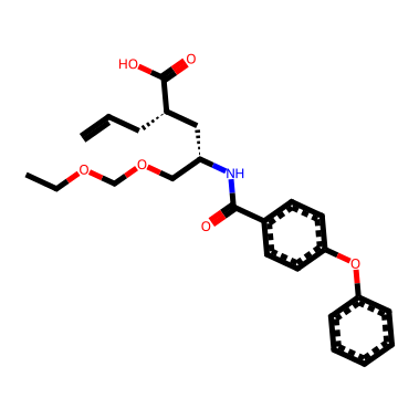 C=CC[C@@H](C[C@@H](COCOCC)NC(=O)c1ccc(Oc2ccccc2)cc1)C(=O)O